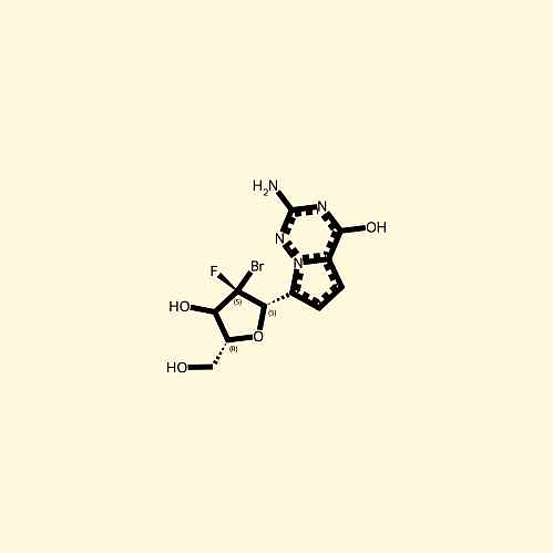 Nc1nc(O)c2ccc([C@@H]3O[C@H](CO)C(O)[C@]3(F)Br)n2n1